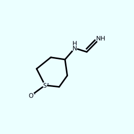 N=CNC1CC[S+]([O-])CC1